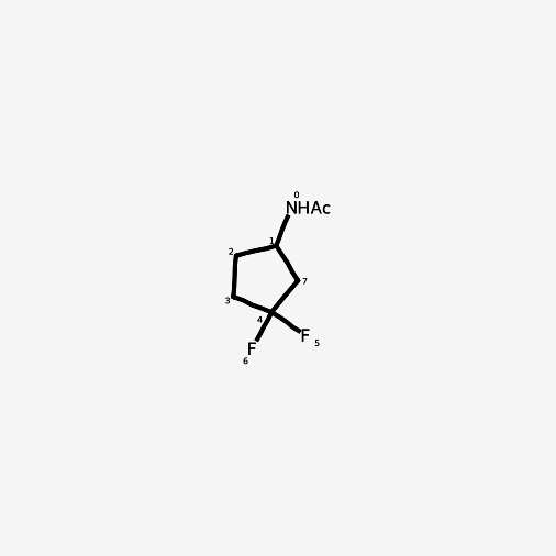 CC(=O)NC1CCC(F)(F)C1